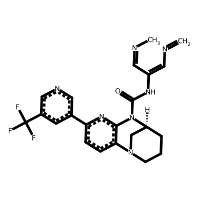 C=N/C=C(\C=N/C)NC(=O)N1c2nc(-c3cncc(C(F)(F)F)c3)ccc2N2CCC[C@H]1C2